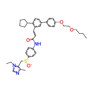 CCCCOCCOc1ccc(-c2ccc(C3CCCC3)c(/C=C/C(=O)Nc3ccc([S@+]([O-])Cc4c(C)ncn4CC)cc3)c2)cc1